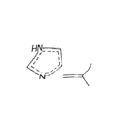 C=C(C)C.c1c[nH]cn1